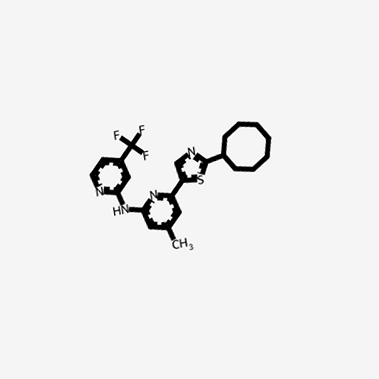 Cc1cc(Nc2cc(C(F)(F)F)ccn2)nc(-c2cnc(C3CCCCCCC3)s2)c1